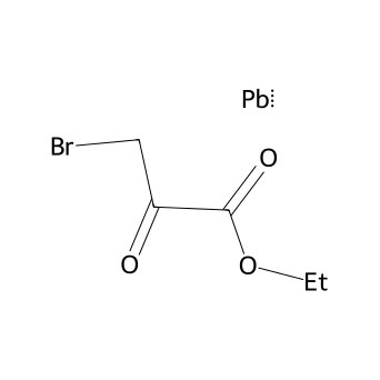 CCOC(=O)C(=O)CBr.[Pb]